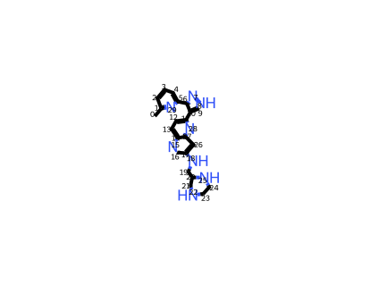 Cc1cccc(-c2n[nH]cc2-c2ccc3ncc(NCC4CNCCN4)cc3n2)n1